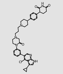 O=C1CCC(c2ccc(C3CCN(CCCN4CCN(c5cccc(-c6cnc7[nH]cc(C8CC8)c7c6Cl)c5)C(=O)C4)CC3)cc2)C(=O)N1